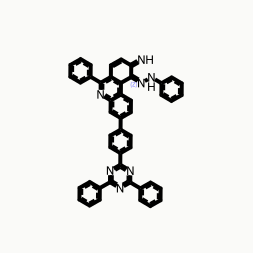 N=C1C=Cc2c(-c3ccccc3)nc3cc(-c4ccc(-c5nc(-c6ccccc6)nc(-c6ccccc6)n5)cc4)ccc3c2/C1=N/Nc1ccccc1